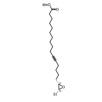 CC[C@H]1O[C@H]1CCCCC#CCCCCCCCCCC(=O)OC